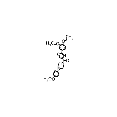 CCOc1ccc(-c2nc(C(=O)N3CCN(c4ccc(OC)cc4)CC3)co2)cc1OCC